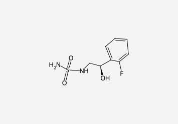 NS(=O)(=O)NC[C@H](O)c1ccccc1F